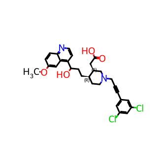 COc1ccc2nccc(C(O)CC[C@@H]3CCN(CC#Cc4cc(Cl)cc(Cl)c4)C[C@@H]3CC(=O)O)c2c1